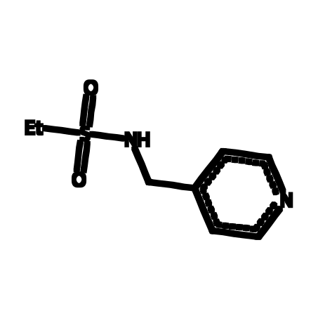 CCS(=O)(=O)NCc1ccncc1